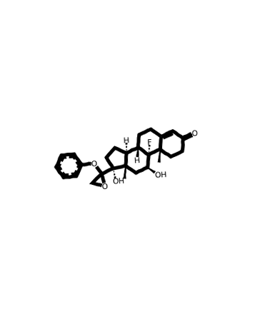 C[C@]12CCC(=O)C=C1CC[C@H]1[C@@H]3CC[C@](O)(C4(Oc5ccccc5)CO4)[C@@]3(C)C[C@H](O)[C@@]12F